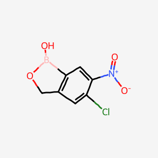 O=[N+]([O-])c1cc2c(cc1Cl)COB2O